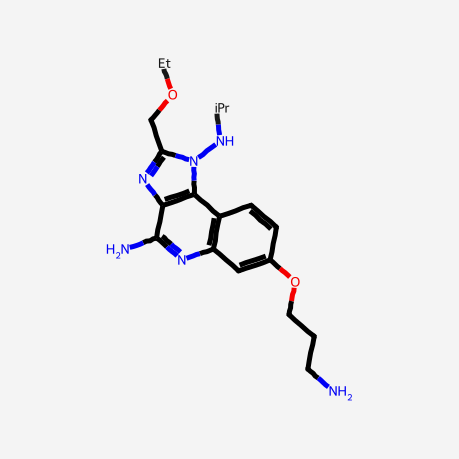 CCOCc1nc2c(N)nc3cc(OCCCN)ccc3c2n1NC(C)C